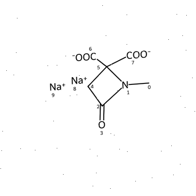 CN1C(=O)CC1(C(=O)[O-])C(=O)[O-].[Na+].[Na+]